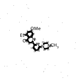 CCc1cc(OC)cc2c1C(=O)CC(c1cccc(N3CCN(C)CC3)n1)=N2